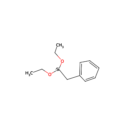 CCO[Si](Cc1ccccc1)OCC